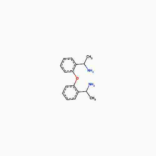 CC(N)c1ccccc1Oc1ccccc1C(C)N